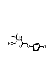 CC(C)[C@@H](CO)NC(=O)COc1ccc(Cl)cc1